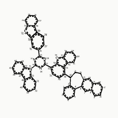 c1ccc2c(c1)-c1cc3ccccc3cc1CCC2c1ccc(-c2nc(-c3ccc4c(c3)sc3ccccc34)nc(-n3c4ccccc4c4ccccc43)n2)c2oc3ccccc3c12